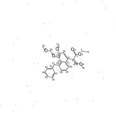 CCOC(=O)C(=NOC)c1cc(OC)c(OCOC)c2c(Cc3ccccc3)cccc12